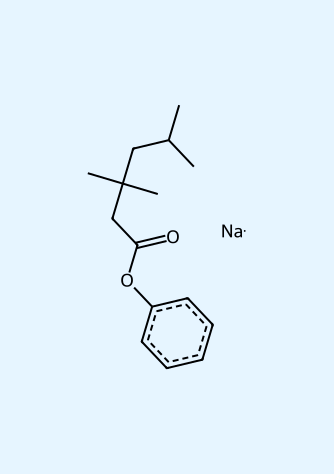 CC(C)CC(C)(C)CC(=O)Oc1ccccc1.[Na]